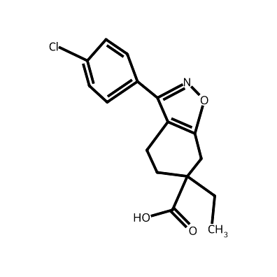 CCC1(C(=O)O)CCc2c(-c3ccc(Cl)cc3)noc2C1